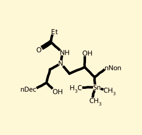 CCCCCCCCCCC(O)CN(CC(O)[CH](CCCCCCCCC)[Sn]([CH3])([CH3])[CH3])NC(=O)CC